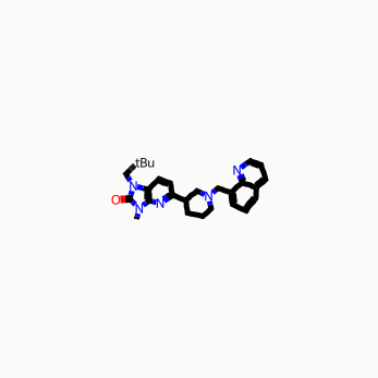 Cn1c(=O)n(CC(C)(C)C)c2ccc(C3CCCN(Cc4cccc5cccnc45)C3)nc21